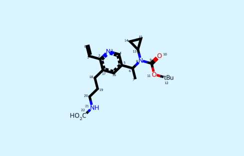 C=Cc1ncc(C(C)N(C(=O)OC(C)(C)C)C2CC2)cc1CCCNC(=O)O